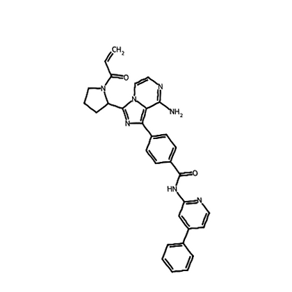 C=CC(=O)N1CCCC1c1nc(-c2ccc(C(=O)Nc3cc(-c4ccccc4)ccn3)cc2)c2c(N)nccn12